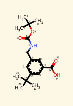 CC(C)(C)OC(=O)NCc1cc(C(=O)O)cc(C(C)(C)C)c1